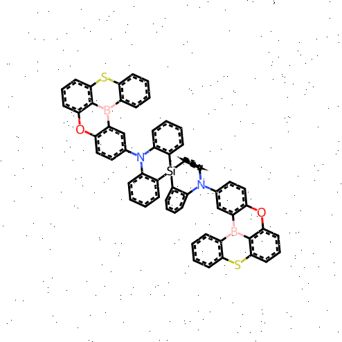 c1ccc2c(c1)Sc1cccc3c1B2c1cc(N2c4ccccc4[Si]4(c5ccccc52)c2ccccc2N(c2ccc5c(c2)B2c6ccccc6Sc6cccc(c62)O5)c2ccccc24)ccc1O3